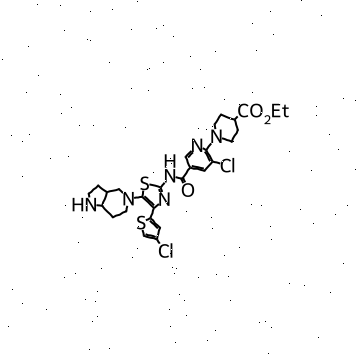 CCOC(=O)C1CCN(c2ncc(C(=O)Nc3nc(-c4cc(Cl)cs4)c(N4CCC5NCCC5C4)s3)cc2Cl)CC1